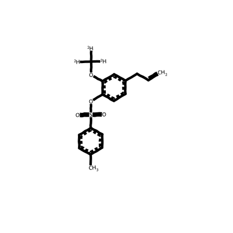 [2H]C([2H])([2H])Oc1cc(CC=C)ccc1OS(=O)(=O)c1ccc(C)cc1